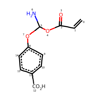 C=CC(=O)OC(N)Oc1ccc(C(=O)O)cc1